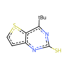 CC(C)(C)c1nc(S)nc2ccsc12